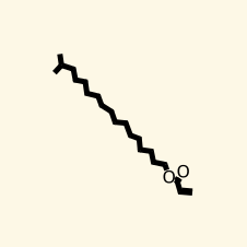 C=CC(=O)OCCCCCCCCCCCCCCCC(C)C